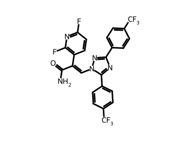 NC(=O)/C(=C/n1nc(-c2ccc(C(F)(F)F)cc2)nc1-c1ccc(C(F)(F)F)cc1)c1ccc(F)nc1F